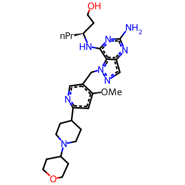 CCC[C@@H](CCO)Nc1nc(N)nc2cnn(Cc3cnc(C4CCN(C5CCOCC5)CC4)cc3OC)c12